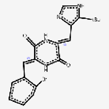 CC(C)(C)c1[nH]cnc1/C=c1\[nH]c(=O)/c(=C/c2ccccc2Br)[nH]c1=O